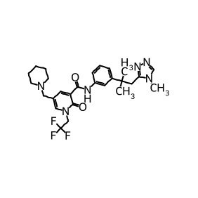 Cn1cnnc1CC(C)(C)c1cccc(NC(=O)c2cc(CN3CCCCC3)cn(CC(F)(F)F)c2=O)c1